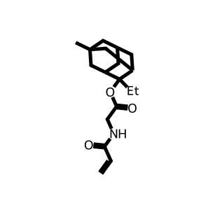 C=CC(=O)NCC(=O)OC1(CC)C2CC3CC1CC(C)(C3)C2